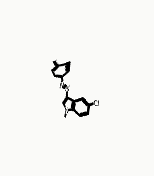 Cc1ccc(/N=N/c2cn(C)c3ccc(Cl)cc23)cc1